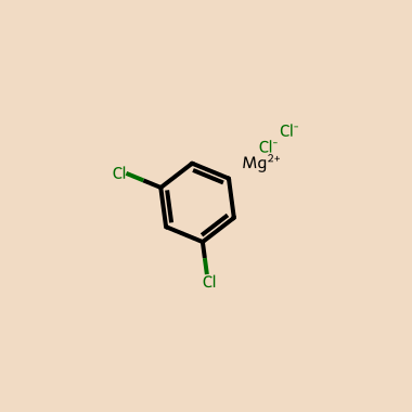 Clc1cccc(Cl)c1.[Cl-].[Cl-].[Mg+2]